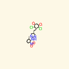 COc1cc(OC)c(Cl)c(C=Cc2cnc(Nc3c(C)cccc3[N+](=O)[O-])nc2)c1Cl